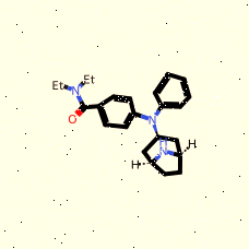 CCN(CC)C(=O)c1ccc(N(c2ccccc2)[C@H]2C[C@H]3CC[C@@H](C2)N3)cc1